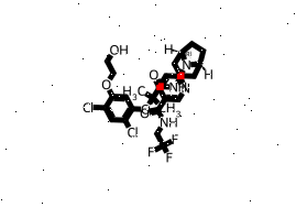 CC(C)(Oc1cc(OCCO)c(Cl)cc1Cl)C(=O)N[C@H]1C[C@H]2CC[C@@H](C1)N2c1ccc(C(=O)NCC(F)(F)F)cn1